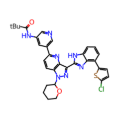 CC(C)(C)C(=O)Nc1cncc(-c2ccc3c(n2)c(-c2nc4c(-c5ccc(Cl)s5)cccc4[nH]2)nn3C2CCCCO2)c1